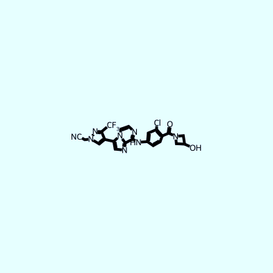 N#CCn1cc(-c2cnc3c(Nc4ccc(C(=O)N5CC(O)C5)c(Cl)c4)nccn23)c(C(F)(F)F)n1